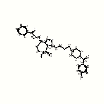 CN1CCC(=NOC(=O)c2ccccc2)c2ccn(CCCCN3CCC(C(=O)c4ccc(F)cc4)CC3)c2C1=O